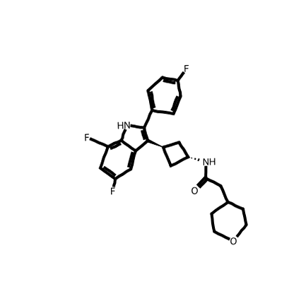 O=C(CC1CCOCC1)N[C@H]1C[C@H](c2c(-c3ccc(F)cc3)[nH]c3c(F)cc(F)cc32)C1